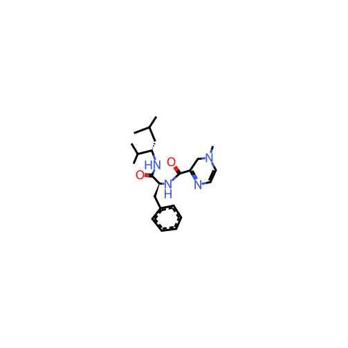 CC(C)C[C@H](NC(=O)[C@H](Cc1ccccc1)NC(=O)C1=NC=CN(C)C1)C(C)C